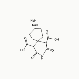 O=C(O)C1C(=O)NC(=O)C(C(=O)O)C12CCCCC2.[NaH].[NaH]